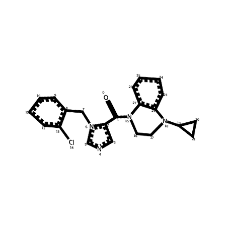 O=C(c1cncn1Cc1ccccc1Cl)N1CCN(C2CC2)c2ccccc21